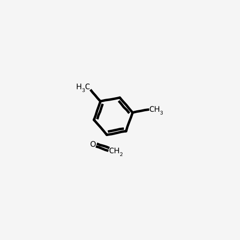 C=O.Cc1cccc(C)c1